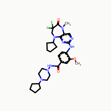 COc1cc(C(=O)NN2CCN(C3CCCC3)CC2)ccc1Nc1ncc2c(n1)N(C1CCCC1)CC(F)(F)C(=O)N2C